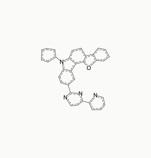 c1ccc(-n2c3ccc(-c4nccc(-c5ccccn5)n4)cc3c3c4oc5ccccc5c4ccc32)cc1